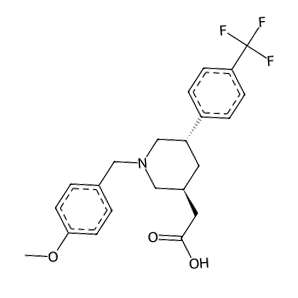 COc1ccc(CN2C[C@H](CC(=O)O)C[C@@H](c3ccc(C(F)(F)F)cc3)C2)cc1